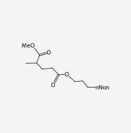 CCCCCCCCCCCCOC(=O)CCC(C)C(=O)OC